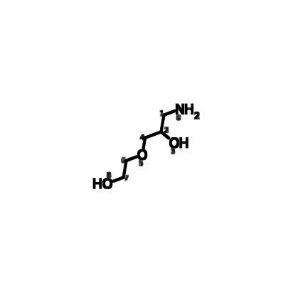 NCC(O)COCCO